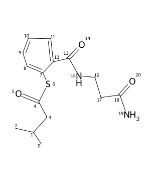 CC(C)CC(=O)Sc1ccccc1C(=O)NCCC(N)=O